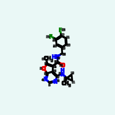 Cc1oc2ncnc(NC3(C)CC3)c2c1C(=O)NCc1ccc(F)c(F)c1